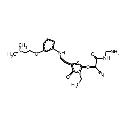 CCn1c(=C=C(C#N)C(=O)NCN)sc(=C=CNc2cccc(OCCN(C)C)c2)c1=O